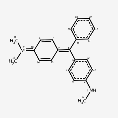 CNc1ccc(C(=C2C=CC(=[N+](C)C)C=C2)c2ccccc2)cc1